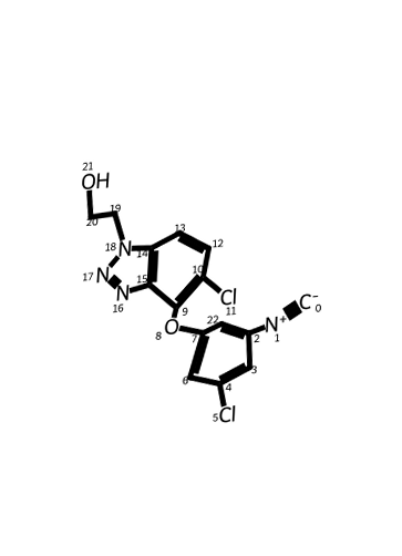 [C-]#[N+]c1cc(Cl)cc(Oc2c(Cl)ccc3c2nnn3CCO)c1